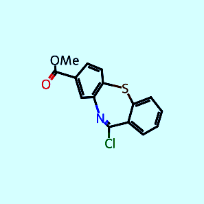 COC(=O)c1ccc2c(c1)N=C(Cl)c1ccccc1S2